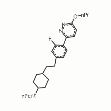 CCCCCC1CCC(CCc2ccc(-c3ccc(OCCC)nn3)c(F)c2)CC1